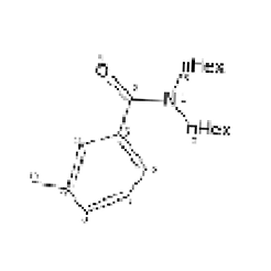 CCCCCCN(CCCCCC)C(=O)c1cccc(C)c1